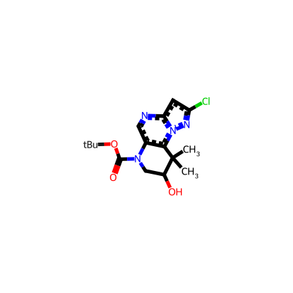 CC(C)(C)OC(=O)N1CC(O)C(C)(C)c2c1cnc1cc(Cl)nn21